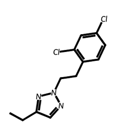 CCc1cnn(CCc2ccc(Cl)cc2Cl)n1